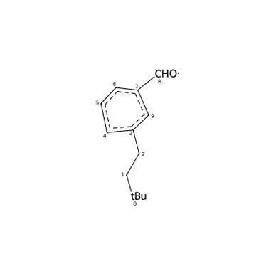 CC(C)(C)CCc1cccc([C]=O)c1